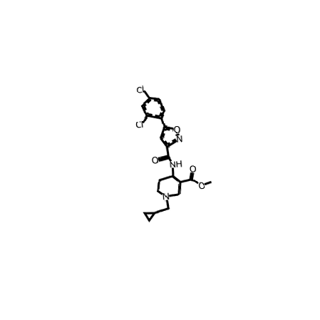 COC(=O)C1CN(CC2CC2)CCC1NC(=O)c1cc(-c2ccc(Cl)cc2Cl)on1